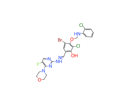 Oc1c(/C=N/Nc2ncc(F)c(N3CCOCC3)n2)cc(Br)c(OCNc2ccccc2Cl)c1Cl